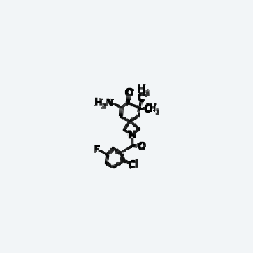 CC1(C)CC2(C=C(N)C1=O)CN(C(=O)c1cc(F)ccc1Cl)C2